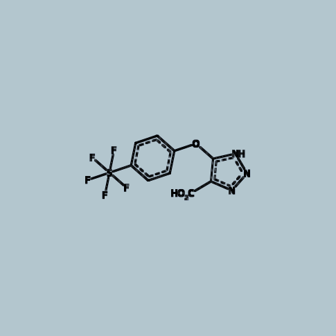 O=C(O)c1nn[nH]c1Oc1ccc(S(F)(F)(F)(F)F)cc1